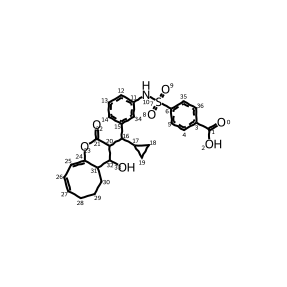 O=C(O)c1ccc(S(=O)(=O)Nc2cccc(C(C3CC3)C3C(=O)OC4=CC=CCCCC4C3O)c2)cc1